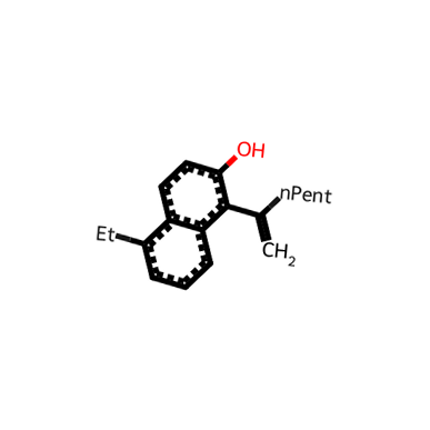 C=C(CCCCC)c1c(O)ccc2c(CC)cccc12